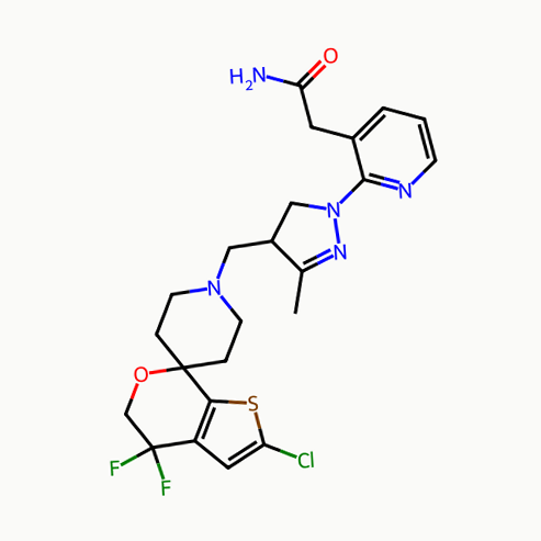 CC1=NN(c2ncccc2CC(N)=O)CC1CN1CCC2(CC1)OCC(F)(F)c1cc(Cl)sc12